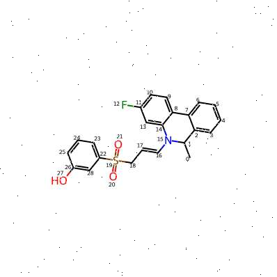 CC1c2ccccc2-c2ccc(F)cc2N1C=CCS(=O)(=O)c1cccc(O)c1